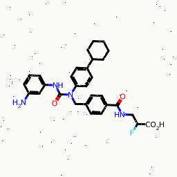 Nc1cccc(NC(=O)N(Cc2ccc(C(=O)NCC(F)C(=O)O)cc2)c2ccc(C3CCCCC3)cc2)c1